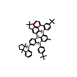 Cc1cc2c3c(c1)N(c1ccc(C(C)(C)C)cc1-c1ccccc1)c1cc4c(cc1B3c1ccc(N3c5ccccc5C5(C)CCCC35C)cc1N2c1ccc(C(C)(C)C)cc1)CC(C)(C)C4